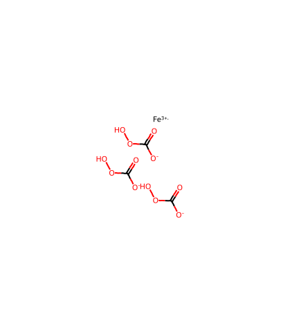 O=C([O-])OO.O=C([O-])OO.O=C([O-])OO.[Fe+3]